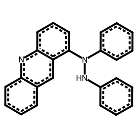 c1ccc(NN(c2ccccc2)c2cccc3nc4ccccc4cc23)cc1